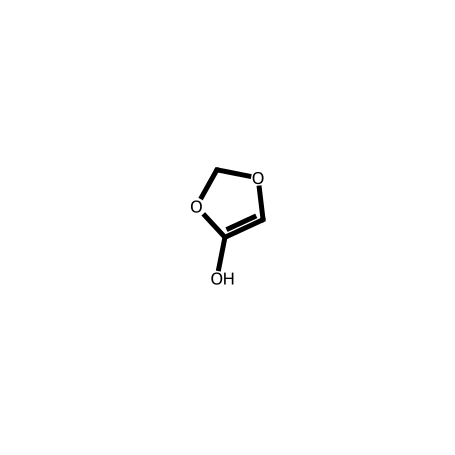 OC1=COCO1